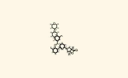 Cc1cc(COc2c(C)cccc2-c2cccc(N3C[C@@H]4OC(=O)[C@H]4C3)n2)cc2c1CN(C1CCOCC1)CC2